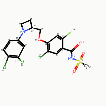 CS(=O)(=O)NC(=O)c1cc(Cl)c(OC[C@@H]2CCN2c2ccc(Cl)c(Cl)c2)cc1F